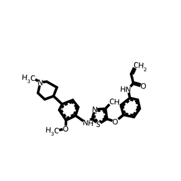 C=CC(=O)Nc1cccc(Oc2sc(Nc3ccc(C4CCN(C)CC4)cc3OC)nc2C)c1